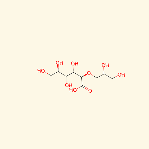 O=C(O)[C@H](OCC(O)CO)[C@@H](O)[C@H](O)[C@H](O)CO